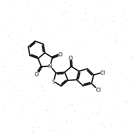 O=C1c2cc(Cl)c(Cl)cc2-c2csc(N3C(=O)c4ccccc4C3=O)c21